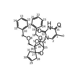 Cc1cn(C2O[C@]3(COCc4ccccc4)C(OCc4ccccc4)C2OC32CC=CC2)c(=O)[nH]c1=O